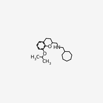 CC(C)Oc1cccc2c1OC(CNCC1CCCCCC1)CC2